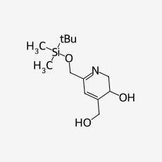 CC(C)(C)[Si](C)(C)OCC1=NCC(O)C(CO)=C1